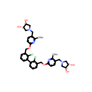 COc1nc(OCc2cccc(-c3cccc(COc4ccc(CN5C[C@H](O)[C@@H](O)C5)c(OC)n4)c3Cl)c2Cl)ccc1CN1C[C@H](O)[C@@H](O)C1